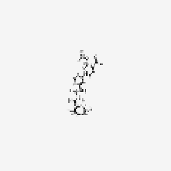 CC(=O)N1CCN(c2cccc(NC(=O)C3Cc4c(F)ccc(C)c4N3)c2)CC1CC(C)C